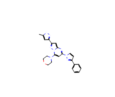 Cc1cc(-c2cc3nc(-n4ccc(-c5ccccc5)n4)cc(N4CCOCC4)n3n2)n[nH]1